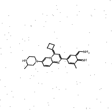 CC1=CC(C2=CC(=C3CCC3)N3C=C(N4CCNC(C)C4)C=CC3=N2)=C/C(=C/N)C1=N